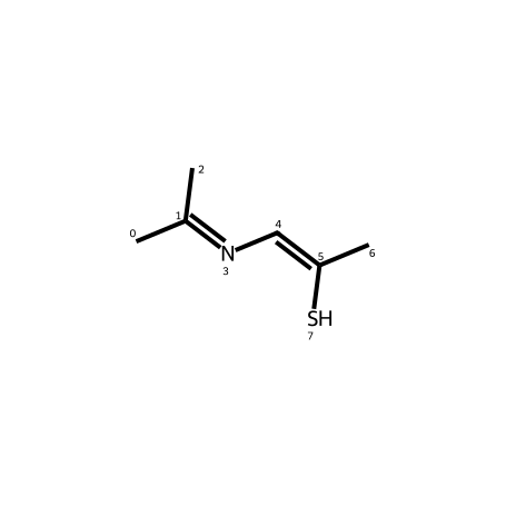 CC(C)=N/C=C(/C)S